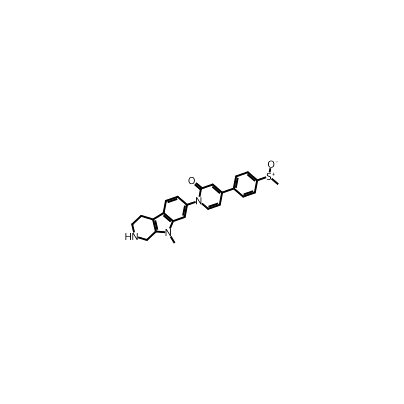 Cn1c2c(c3ccc(-n4ccc(-c5ccc([S+](C)[O-])cc5)cc4=O)cc31)CCNC2